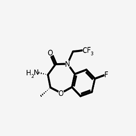 C[C@H]1Oc2ccc(F)cc2N(CC(F)(F)F)C(=O)[C@H]1N